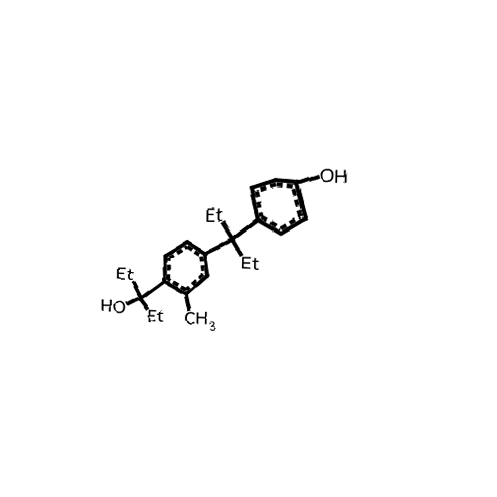 CCC(O)(CC)c1ccc(C(CC)(CC)c2ccc(O)cc2)cc1C